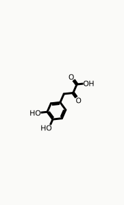 O=C(O)C(=O)Cc1ccc(O)c(O)c1